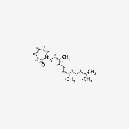 CC(C)=CCCC(C)=CCCC(C)=CCN1C=CC=CCC1=O